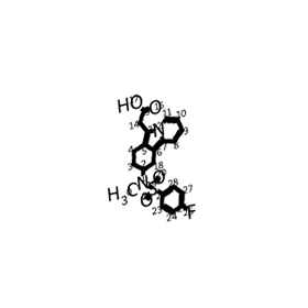 CN(C1CCc2c(c3ccccn3c2CC(=O)O)C1)S(=O)(=O)c1ccc(F)cc1